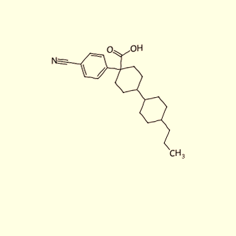 CCCC1CCC(C2CCC(C(=O)O)(c3ccc(C#N)cc3)CC2)CC1